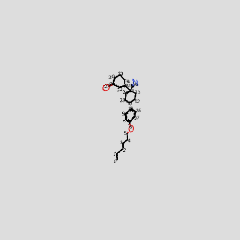 CCCCCCOc1ccc([C@H]2CC[C@@](C#N)([C@@H]3CCCC(=O)C3)CC2)cc1